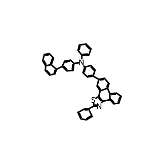 c1ccc(-c2nc3c4ccccc4c4ccc(-c5ccc(N(c6ccccc6)c6ccc(-c7cccc8ccccc78)cc6)cc5)cc4c3s2)cc1